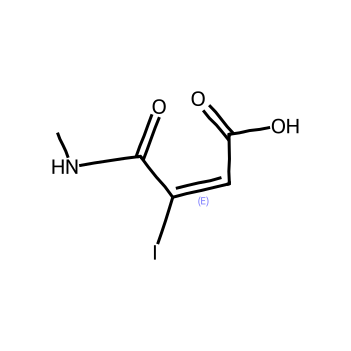 CNC(=O)/C(I)=C\C(=O)O